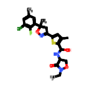 Cc1cc(C2=NOC(c3cc(C(F)(F)F)cc(Cl)c3F)(C(F)(F)F)C2)sc1C(O)NC1CON(CC(F)(F)F)C1=O